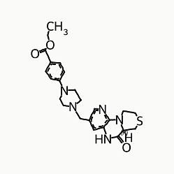 CCOC(=O)c1ccc(N2CCN(Cc3cnc4c(c3)NC(=O)[C@@H]3CSCCN43)CC2)cc1